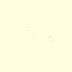 O=C(c1ccccc1)N1CCN(C2CN(C(=O)c3ccc(OCc4cccc(Cl)c4)cc3)C2)CC1